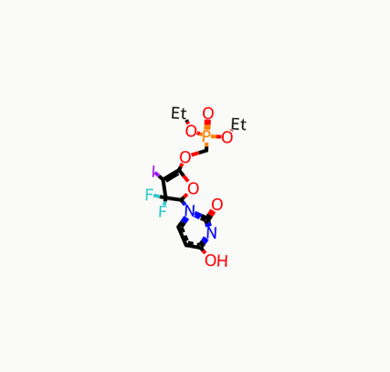 CCOP(=O)(COC1=C(I)C(F)(F)C(n2ccc(O)nc2=O)O1)OCC